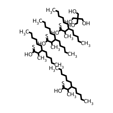 CCCCCCC(CCCCC)C(C)C(O)=S.CCCCCCC(CCCCC)C(C)C(O)=S.CCCCCCC(CCCCC)C(C)C(O)=S.CCCCCCC(CCCCC)C(C)C(O)=S.OCC(CO)(CO)CO